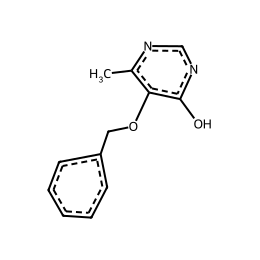 Cc1ncnc(O)c1OCc1ccccc1